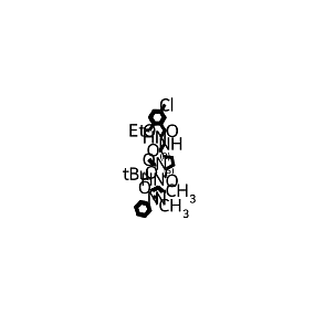 CCOc1ccc(Cl)cc1C(=O)NNC(=O)[C@H]1CC[C@@H](C(=O)Nc2c(C)n(C)n(-c3ccccc3)c2=O)N1C(=O)OC(C)(C)C